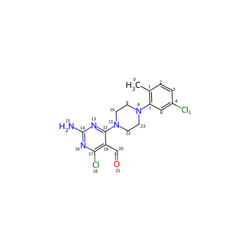 Cc1ccc(Cl)cc1N1CCN(c2nc(N)nc(Cl)c2C=O)CC1